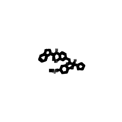 O=C(O)C1CCC(OC(F)(C(=O)Cc2ccc(NC(=O)N3CCc4ccccc43)c(Cl)c2)N2CCCC2)CC1